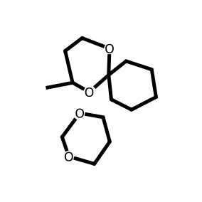 C1COCOC1.CC1CCOC2(CCCCC2)O1